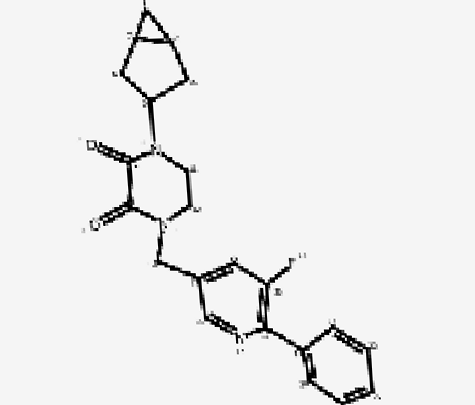 O=C1C(=O)N(C2CC3CC3C2)CCN1Cc1cnc(-c2ccccc2)c(F)c1